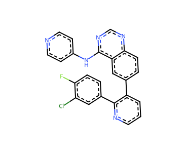 Fc1ccc(-c2ncccc2-c2ccc3ncnc(Nc4ccncc4)c3c2)cc1Cl